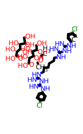 CCOCC.N=C(NCCCCCCNC(=N)NC(=N)Nc1ccc(Cl)cc1)NC(=N)Nc1ccc(Cl)cc1.O=C(O)[C@H](O)[C@@H](O)[C@H](O)[C@H](O)CO.O=C(O)[C@H](O)[C@@H](O)[C@H](O)[C@H](O)CO